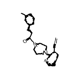 Cc1cccc(/C=C/C(=O)N2CCN(c3ncccc3C#N)CC2)c1